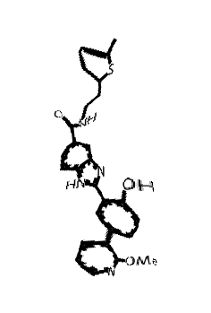 COc1ncccc1-c1ccc(O)c(-c2nc3cc(C(=O)NCCC4CC=C(C)S4)ccc3[nH]2)c1